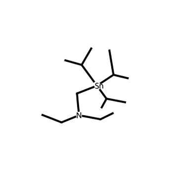 CCN(CC)[CH2][Sn]([CH](C)C)([CH](C)C)[CH](C)C